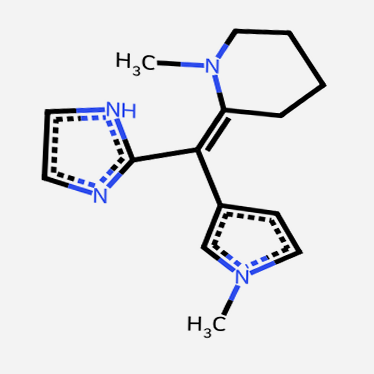 CN1CCCC/C1=C(\c1ccn(C)c1)c1ncc[nH]1